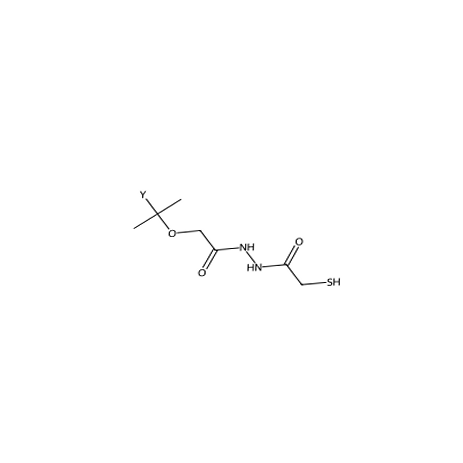 C[C](C)([Y])OCC(=O)NNC(=O)CS